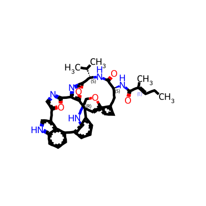 CC/C=C(\C)C(=O)N[C@H]1Cc2ccc3c(c2)[C@]24c5cccc(c5NC2O3)-c2cccc3[nH]cc(c23)-c2cnc(o2)-c2nc(oc24)[C@H](C(C)C)NC1=O